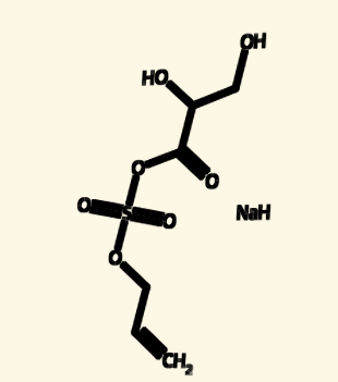 C=CCOS(=O)(=O)OC(=O)C(O)CO.[NaH]